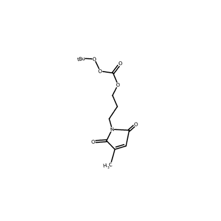 CC1=CC(=O)N(CCCOC(=O)OOC(C)(C)C)C1=O